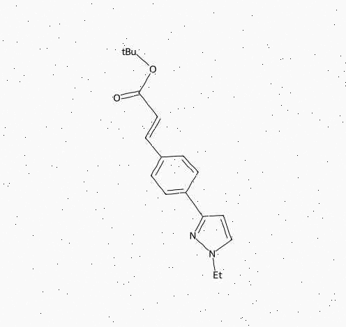 CCn1ccc(-c2ccc(/C=C/C(=O)OC(C)(C)C)cc2)n1